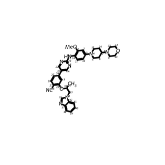 COc1cc(N2CCC(N3CCOCC3)CC2)ccc1Nc1ncc(-c2ccc(C#N)c(OC(C)Cn3cnc4ccccc43)c2)cn1